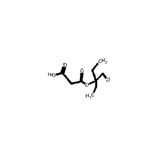 CCC(CC)(CCl)OC(=O)CC(=O)O